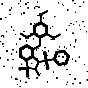 COc1cc(OC)c(Cc2cccc3c2C(S(=O)(=O)c2ccccc2)C(C)S3(=O)=O)c(OC)c1